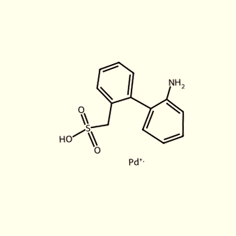 Nc1ccccc1-c1ccccc1CS(=O)(=O)O.[Pd+]